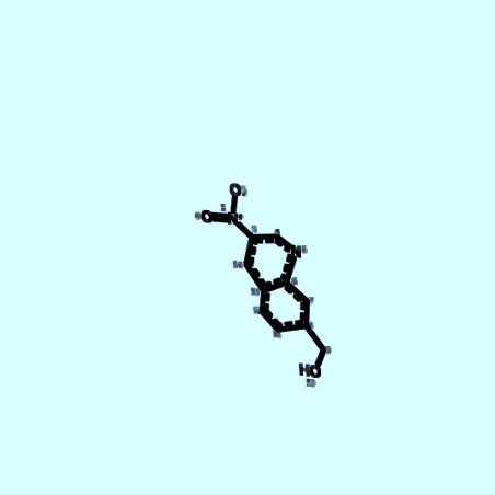 O=[N+]([O-])c1cnc2cc(CO)ccc2c1